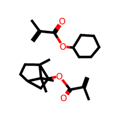 C=C(C)C(=O)OC1CC2CCC1(C)C2(C)C.C=C(C)C(=O)OC1CCCCC1